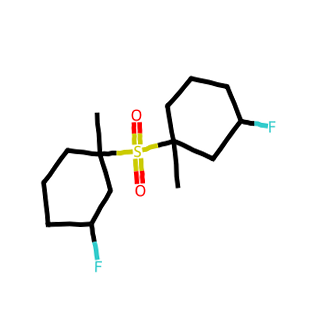 CC1(S(=O)(=O)C2(C)CCCC(F)C2)CCCC(F)C1